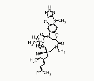 C=C/C(=C\C=C(/C)F)CC(C#N)(CC)CCN(C)C(=O)C1CN(C(=O)OC(C)(C)C)c2cc(Cl)c(N(C)c3nn[nH]n3)cc2O1